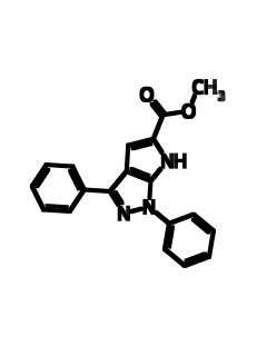 COC(=O)c1cc2c(-c3ccccc3)nn(-c3ccccc3)c2[nH]1